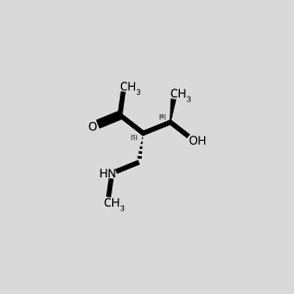 CNC[C@H](C(C)=O)[C@@H](C)O